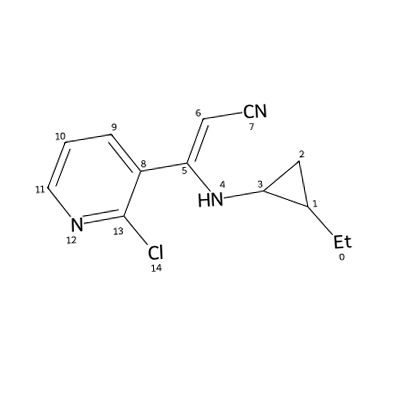 CCC1CC1N/C(=C\C#N)c1cccnc1Cl